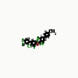 Cc1ccc(-c2cc(F)c(C(F)(F)Oc3ccc(-c4ccc(F)c(F)c4)c(Cl)c3F)c(F)c2)cc1